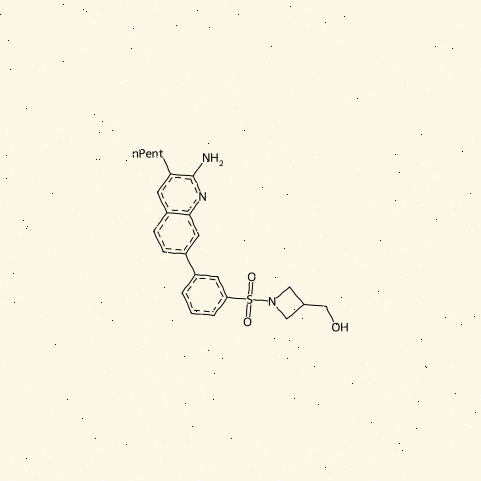 CCCCCc1cc2ccc(-c3cccc(S(=O)(=O)N4CC(CO)C4)c3)cc2nc1N